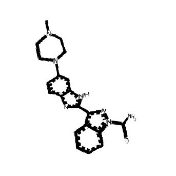 CN1CCN(c2ccc3nc(-c4nn(C(N)=O)c5ccc[c]c45)[nH]c3c2)CC1